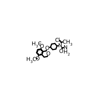 COc1ccc(OC)c2c1CCOC2OC1CCC(N(C(N)=O)C(C)Cl)CC1